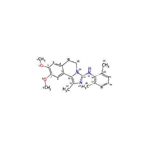 COc1cc2c(cc1OC)-c1c(C)nc(Nc3c(C)cccc3C)n1CC2